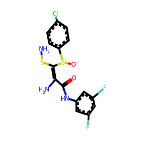 NS/C(=C(\N)C(=O)Nc1cc(F)cc(F)c1)[S+]([O-])c1ccc(Cl)cc1